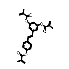 C=C(C)C(=O)Oc1ccc(/C=C/c2cc(OC(=O)C(=C)C)cc(OC(=O)C(=C)C)c2)cc1